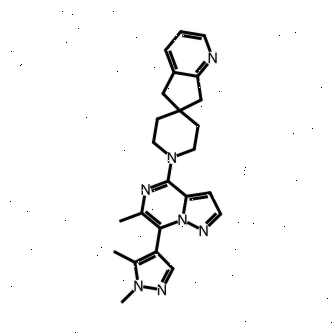 Cc1nc(N2CCC3(CC2)Cc2cccnc2C3)c2ccnn2c1-c1cnn(C)c1C